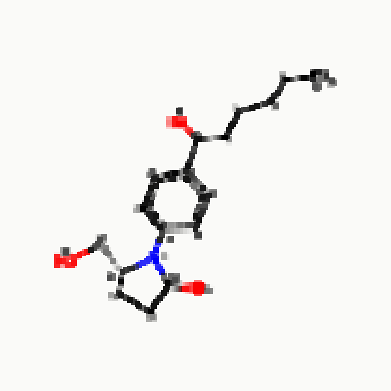 CCCCCC(O)c1ccc(N2C(=O)CC[C@@H]2CO)cc1